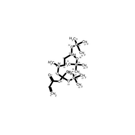 C=CC(=O)OC(C)(O[SiH](C)CC[SiH](O[Si](C)(C)C)O[Si](C)(C)C)O[Si](C)(C)C